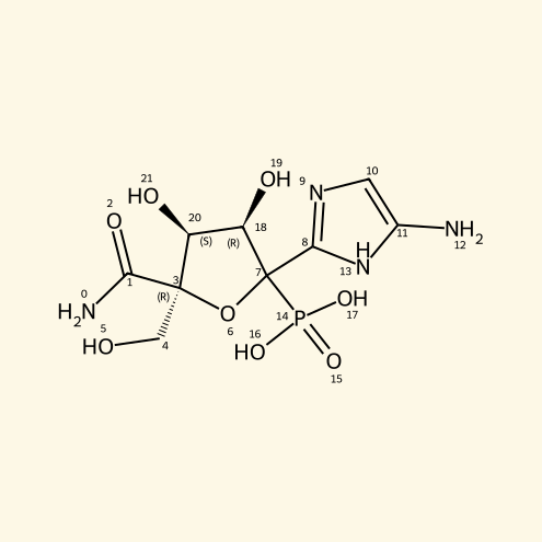 NC(=O)[C@]1(CO)OC(c2ncc(N)[nH]2)(P(=O)(O)O)[C@H](O)[C@@H]1O